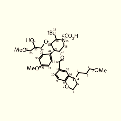 COCCCN1CCOc2ccc(CO[C@H]3CN(C(=O)O)C(C(C)(C)C)[C@@H](OCC(O)COC)[C@@H]3c3ccc(OC)cc3)cc21